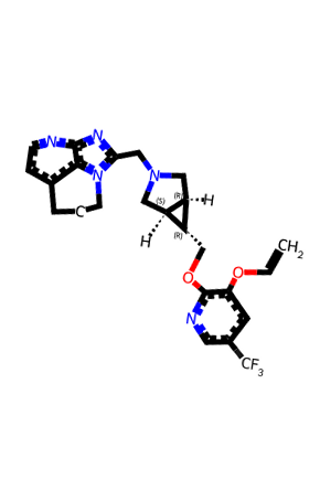 C=COc1cc(C(F)(F)F)cnc1OC[C@@H]1[C@H]2CN(Cc3nc4nccc5c4n3CCC5)C[C@@H]12